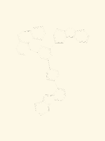 c1ccc2c(c1)ccc1cccc(-c3nc(-c4ccc(-c5cccc6c5sc5ccccc56)cc4)nc(-c4ccc5sc6ccccc6c5c4)n3)c12